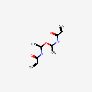 C=CC(=O)NC(C)OC(C)NC(=O)C=C